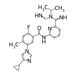 Cc1cc(F)c(C(=O)Nc2cccc(C(=N)N(C=N)C(C)C)n2)cc1-n1cnc(C2CC2)c1